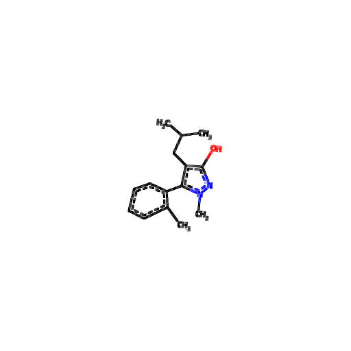 Cc1ccccc1-c1c(CC(C)C)c(O)nn1C